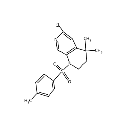 Cc1ccc(S(=O)(=O)N2CCC(C)(C)c3cc(Cl)ncc32)cc1